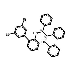 CCc1cc(CC)cc(-c2ccccc2N[C@@H](c2ccccc2)[C@@H](Nc2ccccn2)c2ccccc2)c1